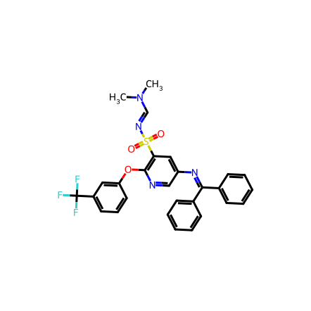 CN(C)C=NS(=O)(=O)c1cc(N=C(c2ccccc2)c2ccccc2)cnc1Oc1cccc(C(F)(F)F)c1